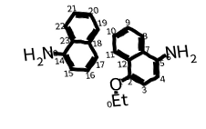 CCOc1ccc(N)c2ccccc12.Nc1cccc2ccccc12